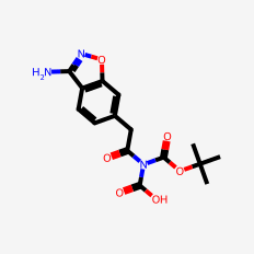 CC(C)(C)OC(=O)N(C(=O)O)C(=O)Cc1ccc2c(N)noc2c1